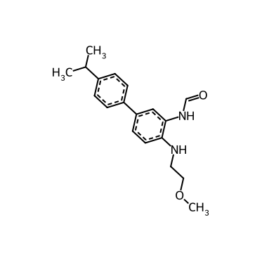 COCCNc1ccc(-c2ccc(C(C)C)cc2)cc1NC=O